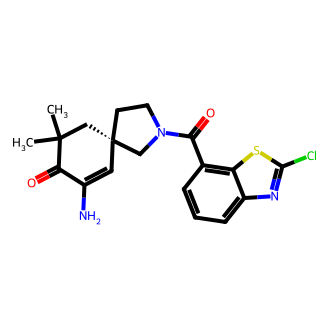 CC1(C)C[C@]2(C=C(N)C1=O)CCN(C(=O)c1cccc3nc(Cl)sc13)C2